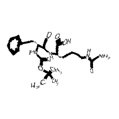 CC(C)(C)OC(=O)N[C@H](Cc1ccccc1)C(=O)N[C@@H](CCCNC(N)=O)C(=O)O